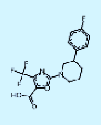 O=C(O)c1oc(N2CCCC(c3ccc(F)cc3)C2)nc1C(F)(F)F